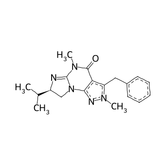 CC(C)[C@@H]1CN2C(=N1)N(C)C(=O)c1c2nn(C)c1Cc1ccccc1